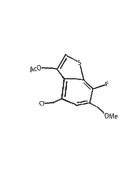 COc1cc(Cl)c2c(OC(C)=O)csc2c1F